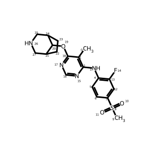 Cc1c(Nc2ccc(S(C)(=O)=O)cc2F)ncnc1OC1C2CCC1CNC2